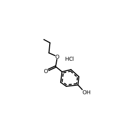 CCCOC(=O)c1ccc(O)cc1.Cl